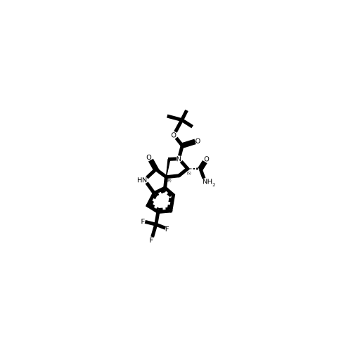 CC(C)(C)OC(=O)N1C[C@]2(C[C@H]1C(N)=O)C(=O)Nc1cc(C(F)(F)F)ccc12